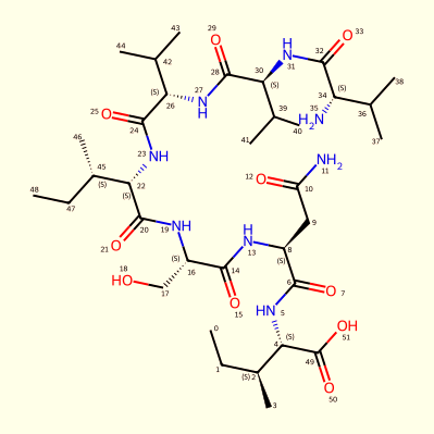 CC[C@H](C)[C@H](NC(=O)[C@H](CC(N)=O)NC(=O)[C@H](CO)NC(=O)[C@@H](NC(=O)[C@@H](NC(=O)[C@@H](NC(=O)[C@@H](N)C(C)C)C(C)C)C(C)C)[C@@H](C)CC)C(=O)O